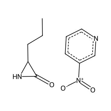 CCCC1NC1=O.O=[N+]([O-])c1cccnc1